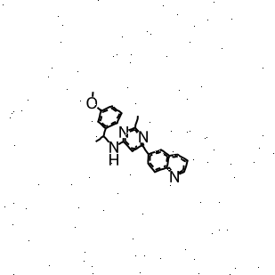 COc1cccc(C(C)Nc2cc(-c3ccc4ncccc4c3)nc(C)n2)c1